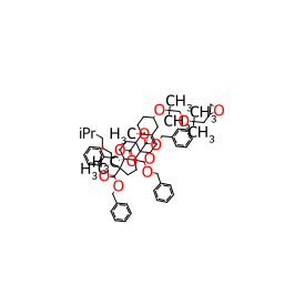 CC(C)CCC[C@@H](C)C1(C(=O)OCc2ccccc2)CCC2(C(=O)OCc3ccccc3)C3(C(=O)OCc4ccccc4)CC=C4C[C@@H](OC(C)(C)COC(C)(C)CC5CO5)CC[C@]4(C)C3(C(=O)OCc3ccccc3)CC[C@]12C